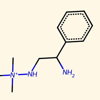 C[N+](C)(C)NCC(N)c1ccccc1